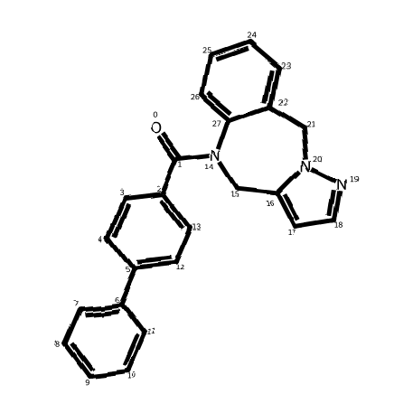 O=C(c1ccc(-c2ccccc2)cc1)N1Cc2ccnn2Cc2ccccc21